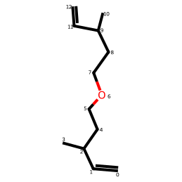 C=CC(C)CCOCCC(C)C=C